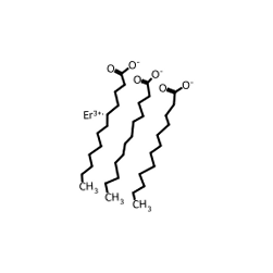 CCCCCCCCCCCC(=O)[O-].CCCCCCCCCCCC(=O)[O-].CCCCCCCCCCCC(=O)[O-].[Er+3]